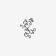 COc1cccnc1-c1cnc(Cl)cc1N[C@@H](C)CCOc1c(-c2nccc(N)n2)cnn1C